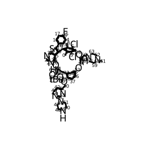 Cc1c(Cl)c2c(Cl)c(C)c1-c1c(-c3ccc(F)cc3)sc3ncnc(c13)O[C@@H](C(=O)OC(C)(C)C)Cc1cc(ccc1OCc1ccnc(N3CCNCC3)n1)OC[C@@H](CN1CCN(C)CC1)O2